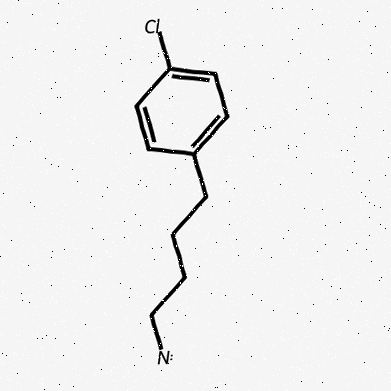 [N]CCCCc1ccc(Cl)cc1